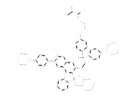 C=C(C)C(=O)OC(C)COc1ccc(C2(c3ccc(N4CCOCC4)cc3)C=Cc3c4c(c5cc(-c6ccc(N7CCOCC7)cc6)c(OC)cc5c3O2)-c2ccccc2C42CC3CCCCC3C2)cc1